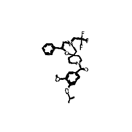 COc1cc(C(=O)N2CCC3(CC2)CN(CC(F)(F)F)CC(c2ccccc2)O3)ccc1OC(C)C